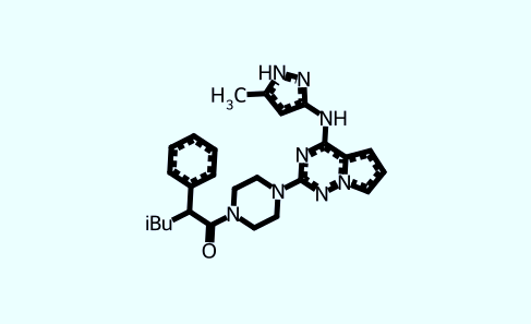 CCC(C)C(C(=O)N1CCN(c2nc(Nc3cc(C)[nH]n3)c3cccn3n2)CC1)c1ccccc1